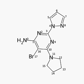 Nc1nc(-n2cccn2)nc(N2CCCC2)c1Br